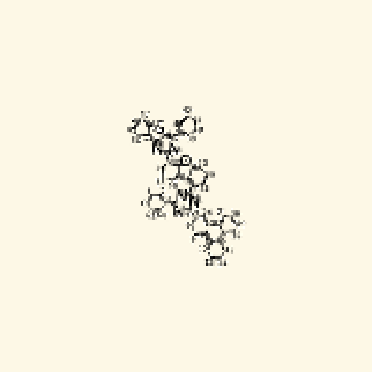 c1ccc(-c2nc(-c3ccc4c5ccccc5c5ccccc5c4c3)nc(-c3cccc4oc5c(-c6nc(-c7ccccc7)c7sc8ccccc8c7n6)cccc5c34)n2)cc1